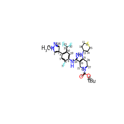 Cn1cc(-c2cc(F)c(Nc3nn(C4CCSCC4)c4c3CN(C(=O)OC(C)(C)C)CC4)cc2C(F)F)cn1